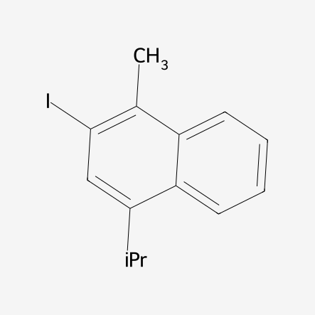 Cc1c(I)cc(C(C)C)c2ccccc12